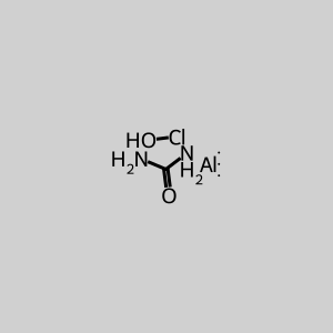 NC(N)=O.OCl.[Al]